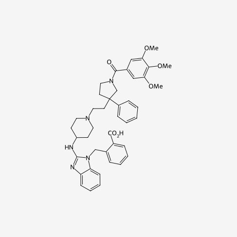 COc1cc(C(=O)N2CCC(CCN3CCC(Nc4nc5ccccc5n4Cc4ccccc4C(=O)O)CC3)(c3ccccc3)C2)cc(OC)c1OC